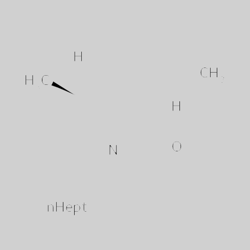 CCCCCCCCN1C[C@@H](C)[C@H]2CC[C@H](C)[C@H]2C1=O